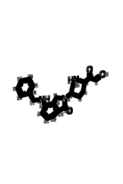 O=CC(=O)C1CCC(N2Cc3c(NCc4ccccc4)cccc3C2=O)CN1